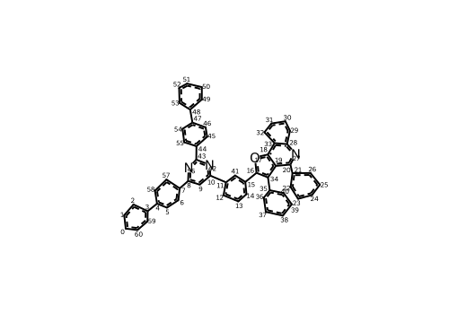 c1ccc(-c2ccc(-c3cc(-c4cccc(-c5oc6c(c(-c7ccccc7)nc7ccccc76)c5-c5ccccc5)c4)nc(-c4ccc(-c5ccccc5)cc4)n3)cc2)cc1